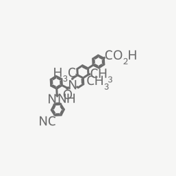 CC1(C)C(c2ccc(C(=O)O)cc2)=CC[C@]2(C)CN(C(=O)c3ccccc3-c3nc4cc(C#N)ccc4[nH]3)CC=C12